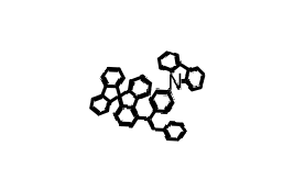 c1ccc(CC(c2ccc(-n3c4ccccc4c4ccccc43)cc2)c2cccc3c2-c2ccccc2C32c3ccccc3-c3ccccc32)cc1